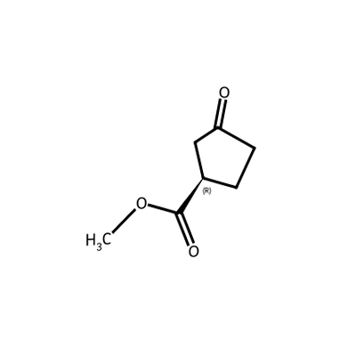 COC(=O)[C@@H]1CCC(=O)C1